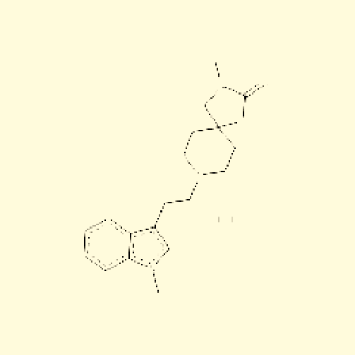 CN1CC2(CCN(CCc3cn(C)c4ccccc34)CC2)OC1=O.Cl